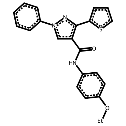 CCOc1ccc(NC(=O)c2cn(-c3ccccc3)nc2-c2cccs2)cc1